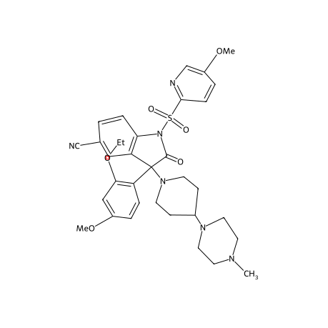 CCOc1cc(OC)ccc1C1(N2CCC(N3CCN(C)CC3)CC2)C(=O)N(S(=O)(=O)c2ccc(OC)cn2)c2ccc(C#N)cc21